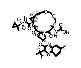 CC(F)(F)c1nc2ccc(F)cc2nc1O[C@@H]1C[C@H]2C(=O)N[C@]3(C(=O)NS(=O)(=O)C4(C)CC4)C[C@H]3/C=C\CCCCC[C@H](NC(=O)O)C(=O)N2C1